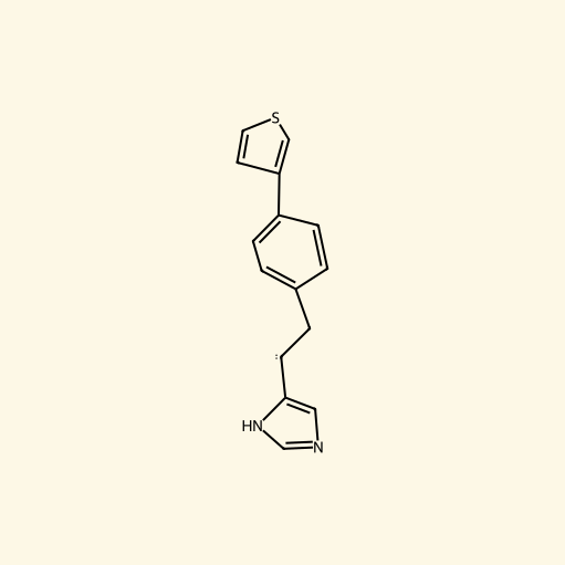 [C](Cc1ccc(-c2ccsc2)cc1)c1cnc[nH]1